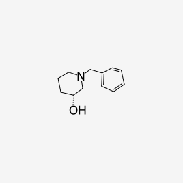 O[C@@H]1CCCN(Cc2ccccc2)C1